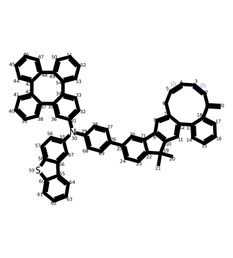 C=C1/C=C\C=C/Cc2cc3c(cc2-c2ccccc21)C(C)(C)c1ccc(-c2ccc(N(c4ccc5c(c4)-c4ccccc4-c4ccccc4-c4ccccc4-5)c4ccc5sc6ccccc6c5c4)cc2)cc1-3